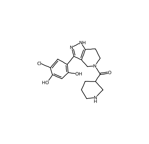 O=C(C1CCCNC1)N1CCc2[nH]nc(-c3cc(Cl)c(O)cc3O)c2C1